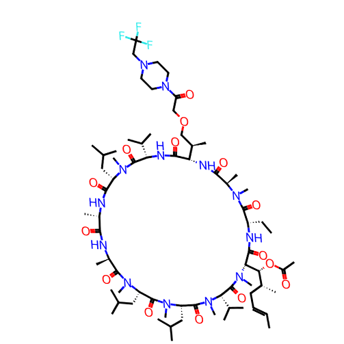 C/C=C/C[C@@H](C)[C@@H](OC(C)=O)[C@H]1C(=O)N[C@@H](CC)C(=O)N(C)[C@H](C)C(=O)N[C@@H]([C@H](C)COCC(=O)N2CCN(CC(F)(F)F)CC2)C(=O)N[C@@H](C(C)C)C(=O)N(C)[C@@H](CC(C)C)C(=O)N[C@@H](C)C(=O)N[C@H](C)C(=O)N(C)[C@@H](CC(C)C)C(=O)N(C)[C@@H](CC(C)C)C(=O)N(C)[C@@H](C(C)C)C(=O)N1C